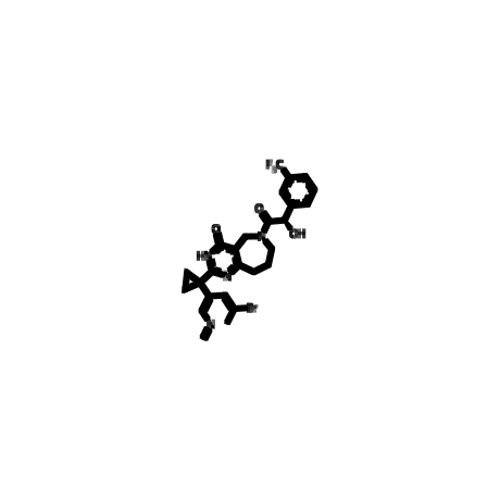 C=N/C=C(\C=C(/C)Br)C1(c2nc3c(c(=O)[nH]2)CN(C(=O)[C@H](O)c2cccc(C(F)(F)F)c2)CCC3)CC1